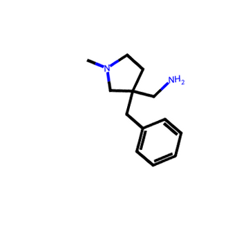 CN1CCC(CN)(Cc2ccccc2)C1